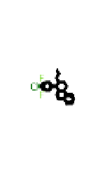 CCCC1CCc2c(ccc3ccccc23)C1c1cc(F)c(Cl)c(F)c1